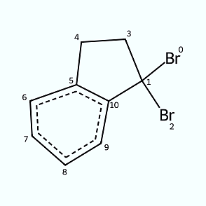 BrC1(Br)CCc2ccccc21